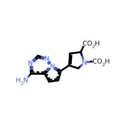 Nc1ncnn2c(C3=CC(C(=O)O)N(C(=O)O)C3)ccc12